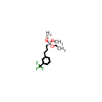 CCO[Si](CCCc1cccc(C(F)(F)F)c1)(OC)OC